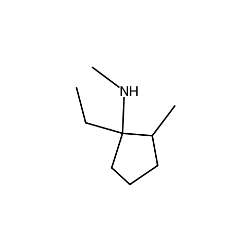 CCC1(NC)CCCC1C